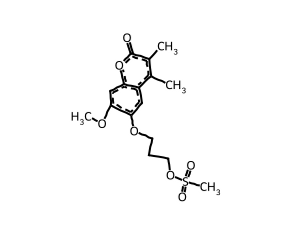 COc1cc2oc(=O)c(C)c(C)c2cc1OCCCOS(C)(=O)=O